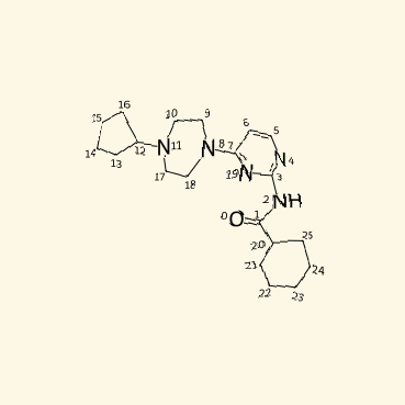 O=C(Nc1nccc(N2CCN(C3CCCC3)CC2)n1)C1CCCCC1